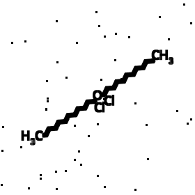 CCCCCCCCCCCC(Cl)OC(Cl)CCCCCCCCCCC